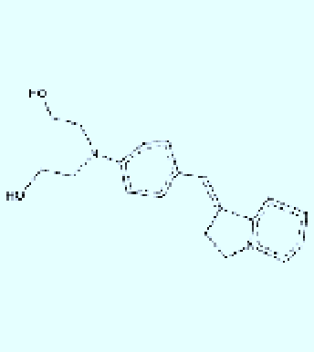 OCCN(CCO)c1ccc(C=C2CC[n+]3ccccc32)cc1